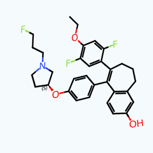 CCOc1cc(F)c(C2=C(c3ccc(O[C@H]4CCN(CCCF)C4)cc3)c3ccc(O)cc3CCC2)cc1F